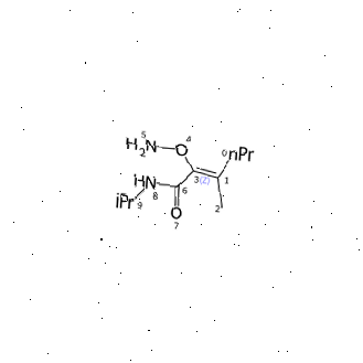 CCC/C(C)=C(\ON)C(=O)NC(C)C